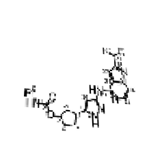 CC(C)NC(=O)O[C@@H]1CC[C@H](c2cc(Nc3nccn4nc(C(F)F)cc34)n[nH]2)C1